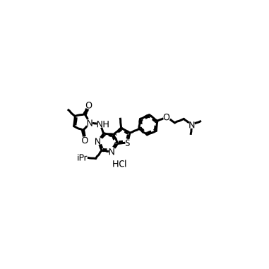 CC1=CC(=O)N(Nc2nc(CC(C)C)nc3sc(-c4ccc(OCCN(C)C)cc4)c(C)c23)C1=O.Cl